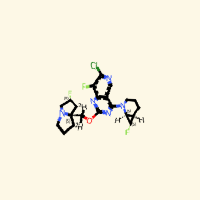 [2H]C([2H])(Oc1nc(N2CCC[C@H]3[C@H](F)[C@H]32)c2cnc(Cl)c(F)c2n1)[C@@]12CCCN1C[C@H](F)C2